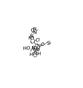 Cc1noc(Cn2cc3c(Cl)c(-c4cn(COCC[Si](C)(C)C)c5nc(N6[C@@H]7CC[C@H]6C[C@@H](NC(=O)O)C7)cnc45)ccc3n2)n1